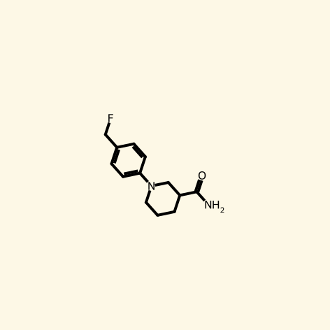 NC(=O)C1CCCN(c2ccc(CF)cc2)C1